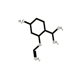 C=COC1CC(C)CCC1C(C)C